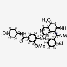 CN/C(=C1\C(=N)CC(C)c2cnc(Nc3ccc(C(=O)NC4CCN(C)CC4)cc3OC)nc21)c1ccccc1Cl